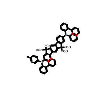 CCCCCCCCC1(CCCCCCCC)c2cc(N(c3ccccc3)c3ccccc3-c3ccccc3)ccc2-c2cc3c(cc21)-c1ccc(N(c2ccc(C)cc2)c2ccccc2-c2ccccc2)cc1C3(CCCCCCCC)CCCCCCCC